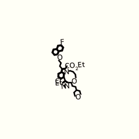 CCOC(=O)c1c(CCCOc2cccc3cc(F)ccc23)c2ccc(Cl)c3c2n1CCCCOC(CCC1CCOCC1)c1nn(C)c(CC)c1-3